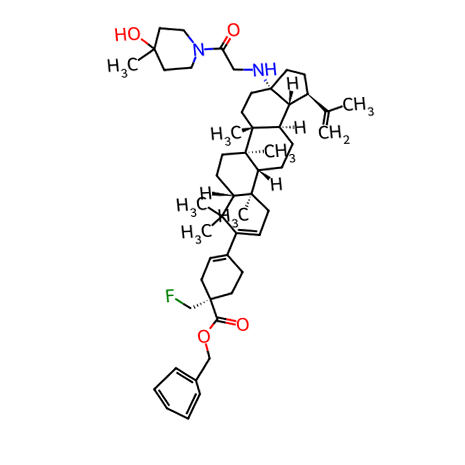 C=C(C)[C@@H]1CC[C@]2(NCC(=O)N3CCC(C)(O)CC3)CC[C@]3(C)[C@H](CC[C@@H]4[C@@]5(C)CC=C(C6=CC[C@](CF)(C(=O)OCc7ccccc7)CC6)C(C)(C)[C@@H]5CC[C@]43C)[C@@H]12